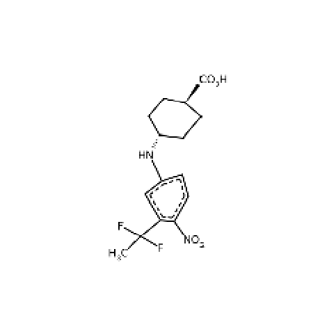 CC(F)(F)c1cc(N[C@H]2CC[C@H](C(=O)O)CC2)ccc1[N+](=O)[O-]